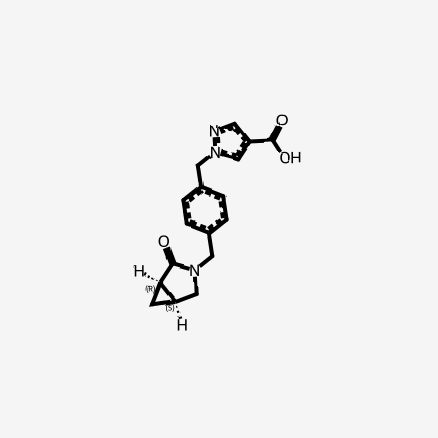 O=C(O)c1cnn(Cc2ccc(CN3C[C@H]4C[C@H]4C3=O)cc2)c1